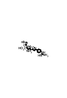 CCCCOC(=O)N[C@H](C(=O)O)[C@H](N)C(=O)C[C@H]1CC(c2ccc(NC(=N)N)cc2)=NO1